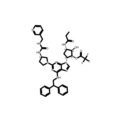 CCC(=O)N[C@H]1C[C@@H](n2cnc3c(NCC(c4ccccc4)c4ccccc4)nc(N4CC[C@@H](NC(=O)NCc5cccnc5)C4)nc32)[C@H](OC(=O)C(F)(F)F)[C@@H]1O